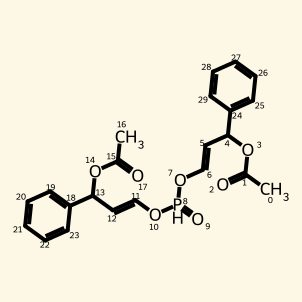 CC(=O)OC(C=CO[PH](=O)OC=CC(OC(C)=O)c1ccccc1)c1ccccc1